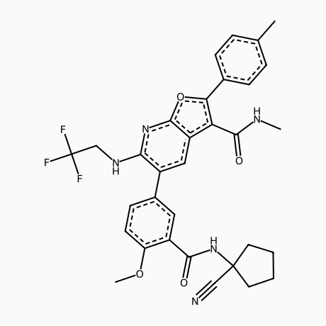 CNC(=O)c1c(-c2ccc(C)cc2)oc2nc(NCC(F)(F)F)c(-c3ccc(OC)c(C(=O)NC4(C#N)CCCC4)c3)cc12